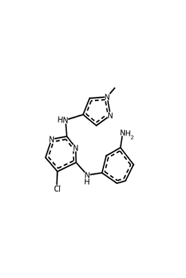 Cn1cc(Nc2ncc(Cl)c(Nc3cccc(N)c3)n2)cn1